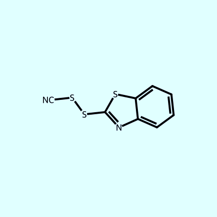 N#CSSc1nc2ccccc2s1